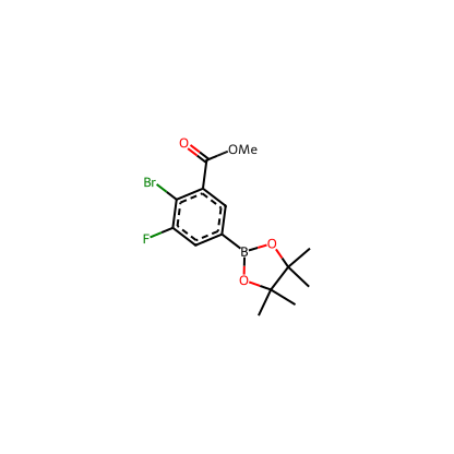 COC(=O)c1cc(B2OC(C)(C)C(C)(C)O2)cc(F)c1Br